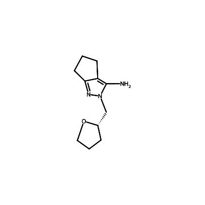 Nc1c2c(nn1C[C@@H]1CCCO1)CCC2